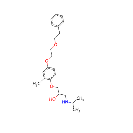 Cc1cc(OCCOCCc2ccccc2)ccc1OCC(O)CNC(C)C